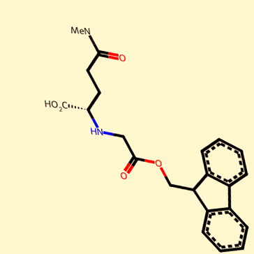 CNC(=O)CC[C@H](NCC(=O)OCC1c2ccccc2-c2ccccc21)C(=O)O